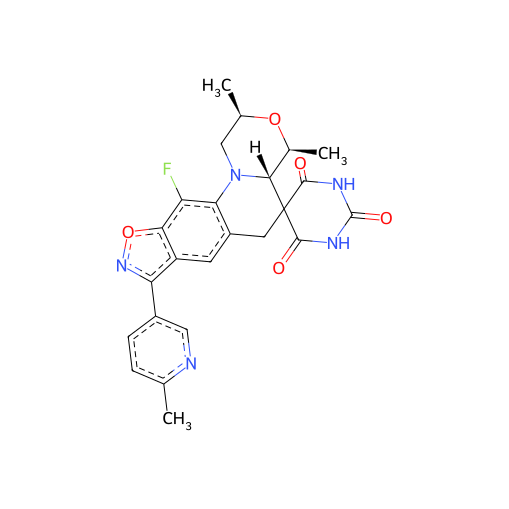 Cc1ccc(-c2noc3c(F)c4c(cc23)CC2(C(=O)NC(=O)NC2=O)[C@H]2[C@H](C)O[C@H](C)CN42)cn1